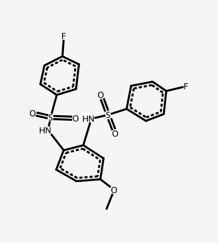 COc1ccc(NS(=O)(=O)c2ccc(F)cc2)c(NS(=O)(=O)c2ccc(F)cc2)c1